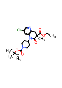 CCOC(=O)C1(C)Cc2ncc(Cl)cc2N(C2CCN(C(=O)OC(C)(C)C)CC2)C1=O